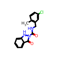 Cc1ccc(Cl)cc1CNC(=O)n1[nH]c2ccccc2c1=O